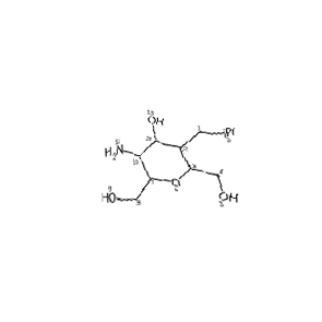 CC(C)CC1C(CO)OC(CO)C(N)C1O